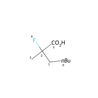 CCCCCC(C)(F)C(=O)O